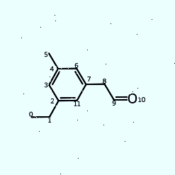 CCc1cc(C)cc(CC=O)c1